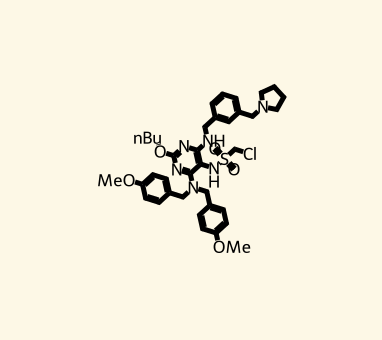 CCCCOc1nc(NCc2cccc(CN3CCCC3)c2)c(NS(=O)(=O)CCl)c(N(Cc2ccc(OC)cc2)Cc2ccc(OC)cc2)n1